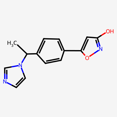 CC(c1ccc(-c2cc(O)no2)cc1)n1ccnc1